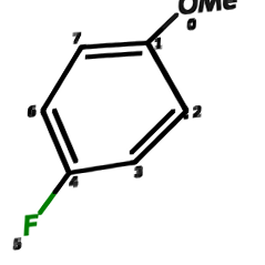 COc1[c]cc(F)cc1